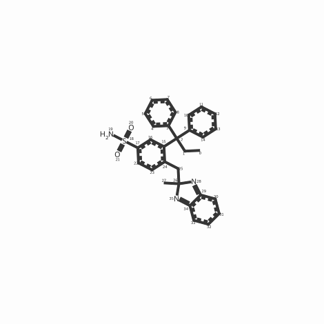 CCC(c1ccccc1)(c1ccccc1)c1cc(S(N)(=O)=O)ccc1CC1(C)N=c2ccccc2=N1